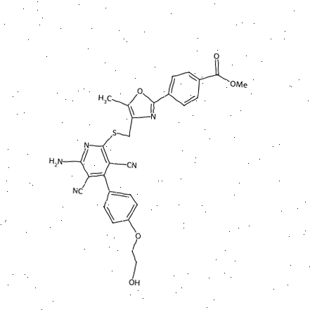 COC(=O)c1ccc(-c2nc(CSc3nc(N)c(C#N)c(-c4ccc(OCCO)cc4)c3C#N)c(C)o2)cc1